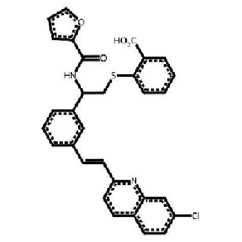 O=C(NC(CSc1ccccc1C(=O)O)c1cccc(/C=C/c2ccc3ccc(Cl)cc3n2)c1)c1ccco1